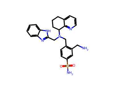 NCc1cc(S(N)(=O)=O)ccc1CN(Cc1nc2ccccc2[nH]1)C1CCCc2cccnc21